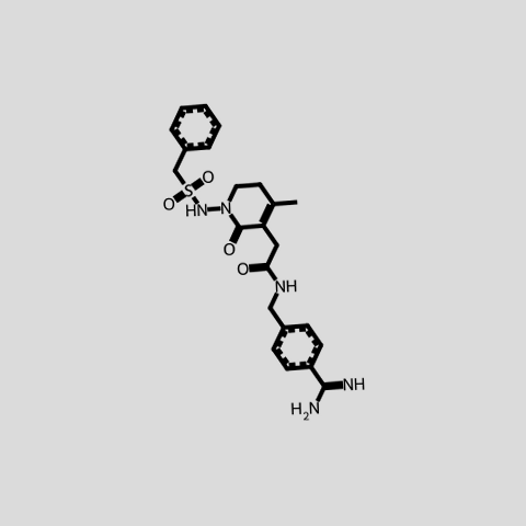 CC1=C(CC(=O)NCc2ccc(C(=N)N)cc2)C(=O)N(NS(=O)(=O)Cc2ccccc2)CC1